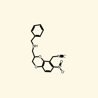 [C-]#[N+]Cc1c([N+](=O)[O-])ccc2c1OC(CNCc1ccccc1)CO2